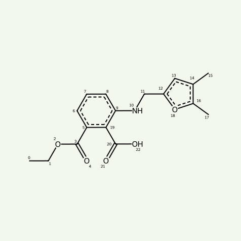 CCOC(=O)c1cccc(NCc2cc(C)c(C)o2)c1C(=O)O